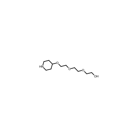 OCCOCCOCCOC1CCNCC1